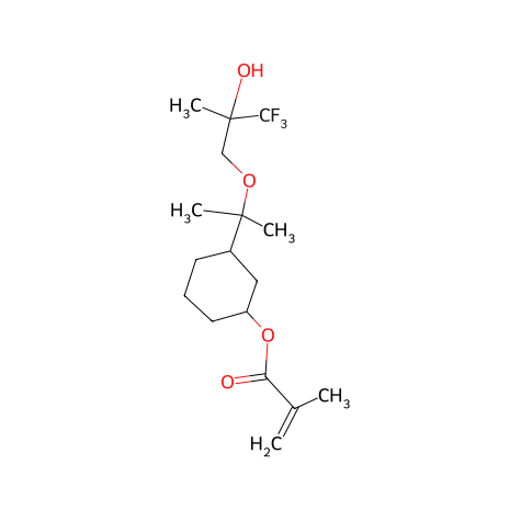 C=C(C)C(=O)OC1CCCC(C(C)(C)OCC(C)(O)C(F)(F)F)C1